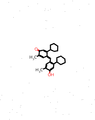 CC1=CC(=Cc2cc(C)c(O)cc2C2CCCCC2)C(C2CCCCC2)=CC1=O